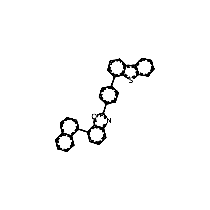 c1ccc2c(-c3cccc4nc(-c5ccc(-c6cccc7c6sc6ccccc67)cc5)oc34)cccc2c1